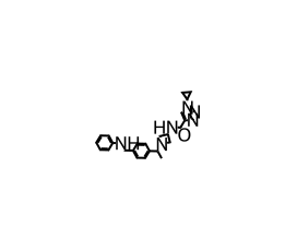 CC(c1ccc(CNc2ccccc2)cc1)N1CC(NC(=O)c2cn(C3CC3)nn2)C1